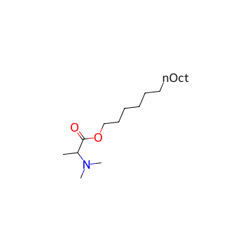 CCCCCCCCCCCCCCOC(=O)C(C)N(C)C